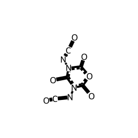 O=C=Nn1c(=O)oc(=O)n(N=C=O)c1=O